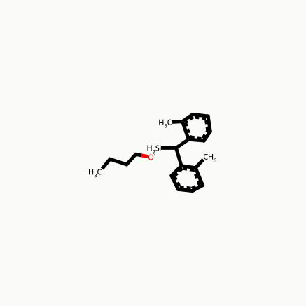 CCCCO[SiH2]C(c1ccccc1C)c1ccccc1C